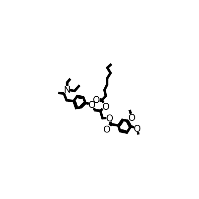 CCCCCCCC(=O)OC(COC(=O)c1ccc(OC)c(OC)c1)COc1ccc(CC(C)N(CC)CC)cc1